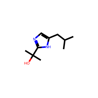 CC(C)Cc1cnc(C(C)(C)O)[nH]1